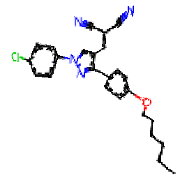 CCCCCCOc1ccc(-c2nn(-c3ccc(Cl)cc3)cc2C=C(C#N)C#N)cc1